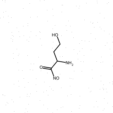 NC(CCO)C(=O)N=O